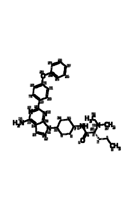 CCC[C@H](C(=O)NC1CCC(n2ncc3c(N)nc(-c4ccc(Oc5ccccc5)cc4)nc32)CC1)N(C)C